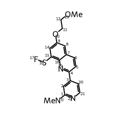 CNc1cc(-c2ccc3cc(OCCOC)cc(SF)c3n2)ccn1